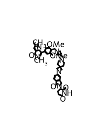 COc1cc(-c2cn(C)c(=O)c3cn(C)nc23)cc(OC)c1CN1CC(CN2CCC3(CC2)CN(c2ccc4c(c2)CN(C2CCC(=O)NC2=O)C4=O)C3)C1